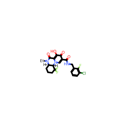 CCN1C(=O)c2c(O)c(=O)c(C(=O)NCc3cccc(Cl)c3F)cn2[C@@H]2[C@H]1CCCC2(F)F